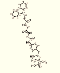 CC(C)(C[C@@H](N)Cc1ccc(NC(=O)CNC(=O)CNC(=O)OCC2c3ccccc3-c3ccccc32)cc1)C(=O)O